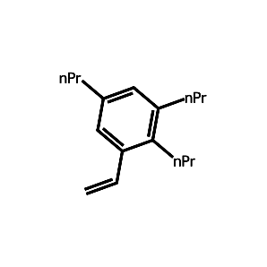 C=Cc1cc(CCC)cc(CCC)c1CCC